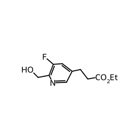 CCOC(=O)CCc1cnc(CO)c(F)c1